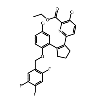 CCOC(=O)c1nc(C2=C(c3cc(Cl)ccc3OCc3cc(F)c(F)cc3F)CCC2)ccc1Cl